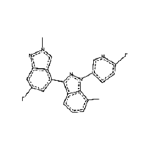 Cc1cccc2c(-c3cc(F)cc4nn(C)cc34)nn(-c3ccc(F)nc3)c12